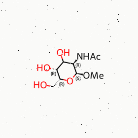 CO[C@H]1O[C@H](CO)[C@H](O)C(O)[C@H]1NC(C)=O